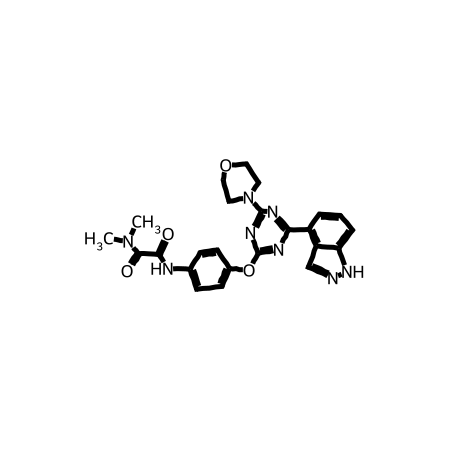 CN(C)C(=O)C(=O)Nc1ccc(Oc2nc(-c3cccc4[nH]ncc34)nc(N3CCOCC3)n2)cc1